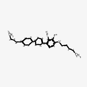 CCCCCOc1ccc(C2=CCC(C3CCC(CCCC)CC3)CC2)c(F)c1F